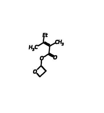 CCC(C)=C(C)C(=O)OC1CCO1